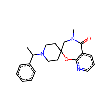 CC(c1ccccc1)N1CCC2(CC1)CN(C)C(=O)c1cccnc1O2